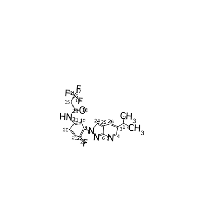 CC(C)c1cnc2nn(-c3cc(NC(=O)CC(F)(F)F)ccc3F)cc2c1